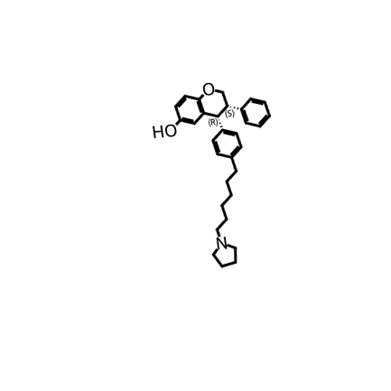 Oc1ccc2c(c1)[C@@H](c1ccc(CCCCCCN3CCCC3)cc1)[C@@H](c1ccccc1)CO2